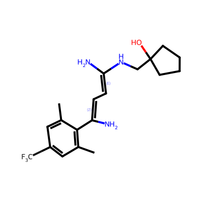 Cc1cc(C(F)(F)F)cc(C)c1/C(N)=C/C=C(\N)NCC1(O)CCCC1